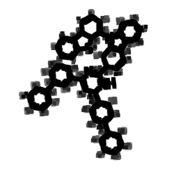 C1=CC2c3ccccc3SC2C(n2c3c(c4ccccc42)C=CC(C2=NC(c4cccc(-c5ccccc5)c4)=CC(c4ccc(-c5ccccc5)cc4)N2)C3)=C1